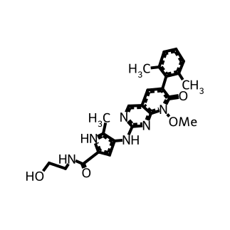 COn1c(=O)c(-c2c(C)cccc2C)cc2cnc(Nc3cc(C(=O)NCCO)[nH]c3C)nc21